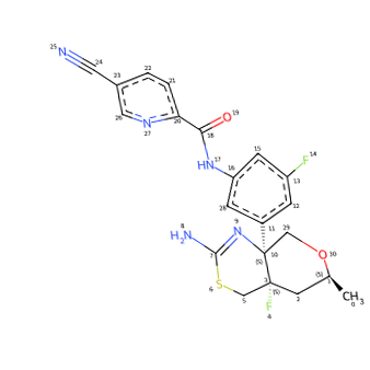 C[C@H]1C[C@@]2(F)CSC(N)=N[C@@]2(c2cc(F)cc(NC(=O)c3ccc(C#N)cn3)c2)CO1